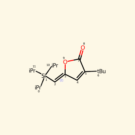 CC(C)[Si](/C=C1/C=C(C(C)(C)C)C(=O)O1)(C(C)C)C(C)C